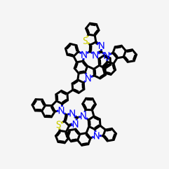 c1ccc2c(c1)ccc1c2c2ccccc2n1-c1nc(-n2c3ccccc3c3cc4c5cc(-c6ccc7c8c9ccccc9ccc8n(-c8nc(-n9c%10ccccc%10c%10cc%11c%12ccccc%12n%12c%13ccc%14ccccc%14c%13c(c%109)c%11%12)nc9c8sc8ccccc89)c7c6)ccc5n5c6ccc7ccccc7c6c(c32)c45)c2sc3ccccc3c2n1